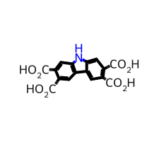 O=C(O)c1cc2[nH]c3cc(C(=O)O)c(C(=O)O)cc3c2cc1C(=O)O